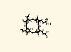 C=CC1=C(C)C2CC3=N/C(=C\c4[nH]c(c(C)c4CCC(=O)O)CC4N=C(/C=C/1N2)C(C)=C4C=C)C(CCC(C)=O)=C3C